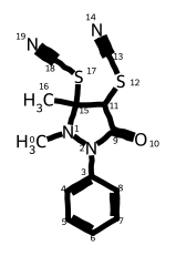 CN1N(c2ccccc2)C(=O)C(SC#N)C1(C)SC#N